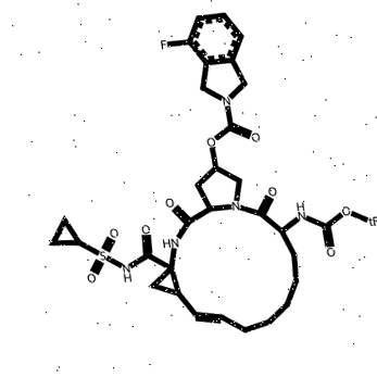 CC(C)(C)OC(=O)NC1CCCCC/C=C/C2CC2(C(=O)NS(=O)(=O)C2CC2)NC(=O)C2CC(OC(=O)N3Cc4cccc(F)c4C3)CN2C1=O